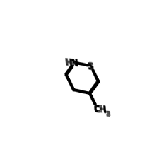 CC1CCNSC1